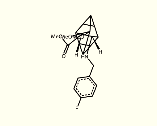 COC(=O)[C@@H]1C2C3C4C(C5C2C5C(OC)(OC)C34)[C@@H]1NCc1ccc(F)cc1